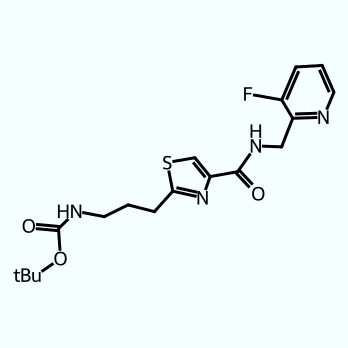 CC(C)(C)OC(=O)NCCCc1nc(C(=O)NCc2ncccc2F)cs1